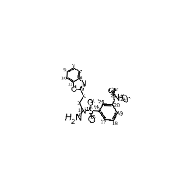 NN(CCc1nc2ccccc2o1)S(=O)(=O)c1cccc([N+](=O)[O-])c1